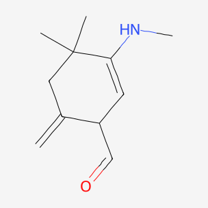 C=C1CC(C)(C)C(NC)=CC1C=O